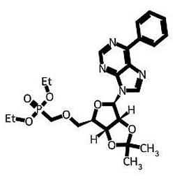 CCOP(=O)(COC[C@H]1O[C@@H](n2cnc3c(-c4ccccc4)ncnc32)[C@@H]2OC(C)(C)O[C@@H]21)OCC